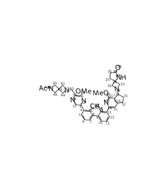 COc1nc(-c2cccc(-c3cccc(-c4cc5c(c(OC)n4)C(N4CC6(CCC(=O)N6)C4)CC5)c3F)c2C)cnc1CN1CC2(C1)CN(C(C)=O)C2